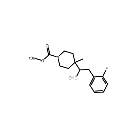 CC(C)(C)OC(=O)N1CCC(C)(C(C=O)Cc2ccccc2F)CC1